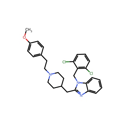 COc1ccc(CCN2CCC(Cc3nc4ccccc4n3Cc3c(Cl)cccc3Cl)CC2)cc1